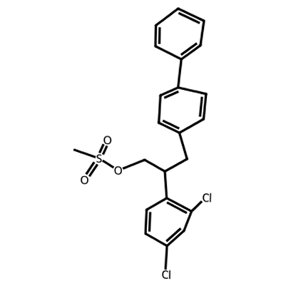 CS(=O)(=O)OCC(Cc1ccc(-c2ccccc2)cc1)c1ccc(Cl)cc1Cl